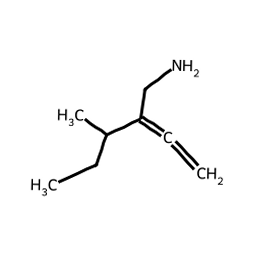 C=C=C(CN)C(C)CC